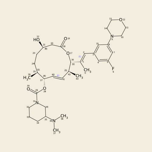 C/C(=C\c1cc(F)cc(N2CCOCC2)c1)[C@H]1OC(=O)C[C@H](O)CC[C@H](C)[C@@H](OC(=O)N2CCCC(N(C)C)C2)/C=C/[C@@H]1C